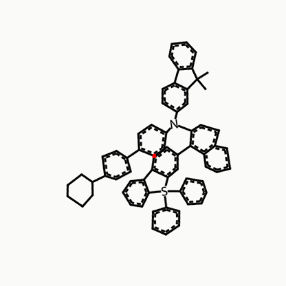 CC1(C)c2ccccc2-c2ccc(N(c3ccc(-c4ccc(C5CCCCC5)cc4)cc3)c3ccc4ccccc4c3-c3ccc4c(c3)S(c3ccccc3)(c3ccccc3)c3ccccc3-4)cc21